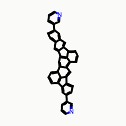 c1cncc(-c2ccc3cc4c(cc3c2)c2cccc3c5cc6c7ccc(-c8cccnc8)cc7c7cccc(c5cc4c23)c76)c1